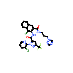 O=C(NCCCn1cncn1)c1cc2ccccc2c(Cl)c1NC(=O)c1cc(C(F)(F)F)nn1-c1ncccc1Cl